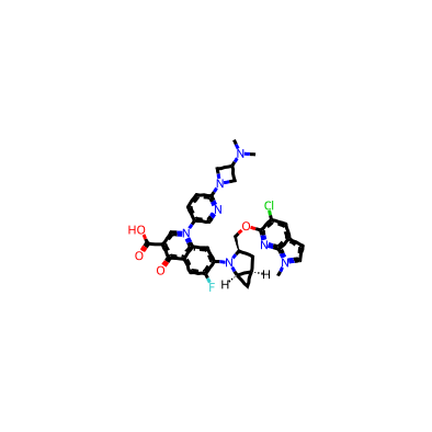 CN(C)C1CN(c2ccc(-n3cc(C(=O)O)c(=O)c4cc(F)c(N5[C@@H](COc6nc7c(ccn7C)cc6Cl)C[C@H]6C[C@H]65)cc43)cn2)C1